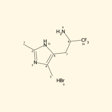 Br.Cc1nc(C)c(CC(N)C(F)(F)F)[nH]1